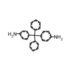 Nc1ccc(C(c2ccccc2)(c2ccccc2)c2ccc(N)cc2)cc1